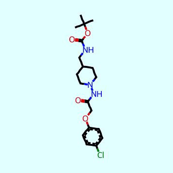 CC(C)(C)OC(=O)NCC1CCN(NC(=O)COc2ccc(Cl)cc2)CC1